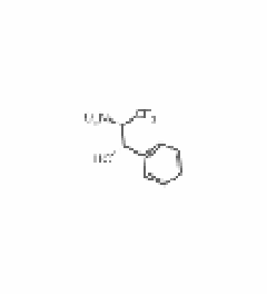 O=[N+]([O-])[C@H]([C@@H](O)c1ccccc1)C(F)(F)F